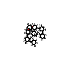 c1ccc(-c2cc(-n3c4ccccc4c4cccc(-c5ccccc5)c43)nc(-n3c4ccccc4c4cccc(-c5ccccc5)c43)c2)cc1